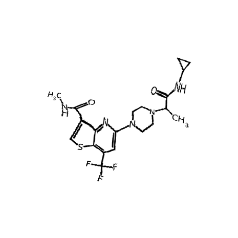 CNC(=O)c1csc2c(C(F)(F)F)cc(N3CCN(C(C)C(=O)NC4CC4)CC3)nc12